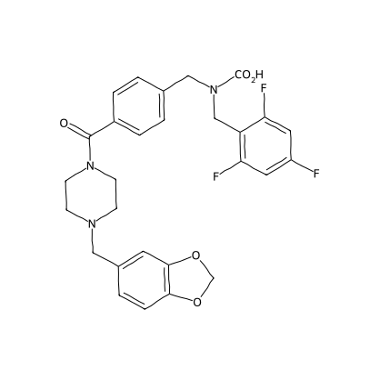 O=C(O)N(Cc1ccc(C(=O)N2CCN(Cc3ccc4c(c3)OCO4)CC2)cc1)Cc1c(F)cc(F)cc1F